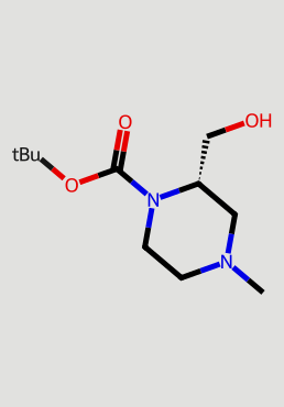 CN1CCN(C(=O)OC(C)(C)C)[C@H](CO)C1